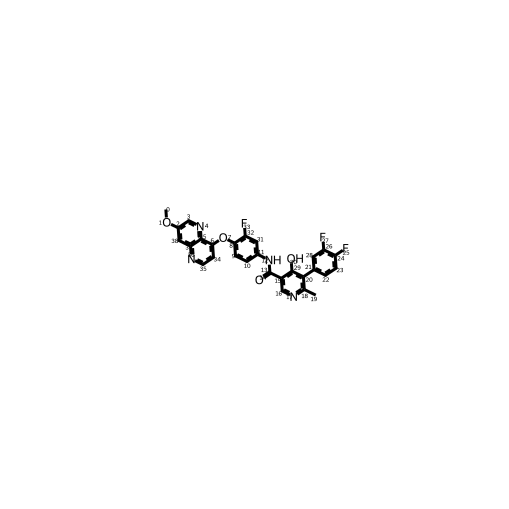 COc1cnc2c(Oc3ccc(NC(=O)c4cnc(C)c(-c5ccc(F)c(F)c5)c4O)cc3F)ccnc2c1